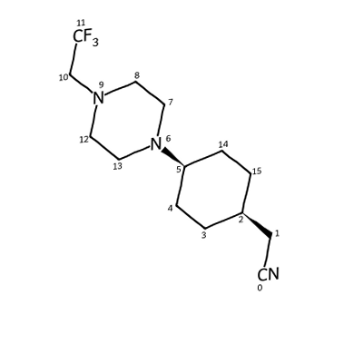 N#CC[C@H]1CC[C@@H](N2CCN(CC(F)(F)F)CC2)CC1